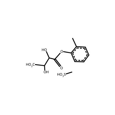 CS(=O)(=O)O.Cc1ccccc1OC(=O)C(O)C(O)C(=O)O